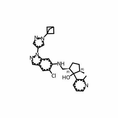 Cc1ncccc1C1(O)[C@@H](CNc2cc3c(cnn3-c3cnn(C45CC(C4)C5)c3)cc2Cl)CC[C@H]1C